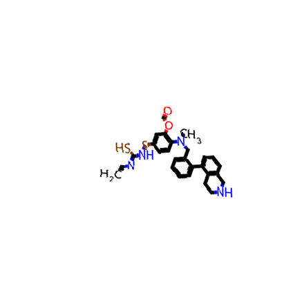 C=C/N=C(\S)NSc1ccc(N(C)Cc2ccccc2-c2cccc3c2CCNC3)c(OC=O)c1